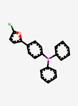 Brc1ccc(-c2ccc(P(c3ccccc3)c3ccccc3)cc2)o1